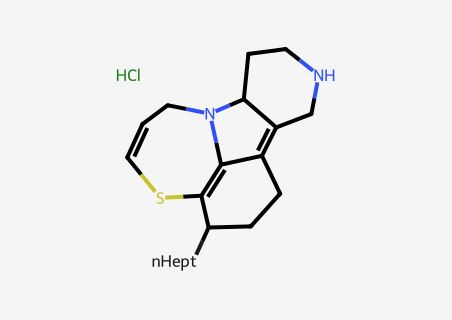 CCCCCCCC1CCC2=C3CNCCC3N3CC=CSC1=C23.Cl